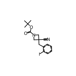 CC(C)(C)OC(=O)N1CC(C#N)(Cc2ccccc2I)C1